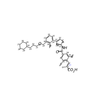 C/C(=C\c1c(F)cc(C(=O)Nc2nc(-c3cccc(COCCCC4CCCCC4)c3F)cs2)cc1F)C(=O)O